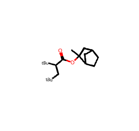 CC(C)(C)CC(C(=O)OC1(C)CC2CCC1C2)C(C)(C)C